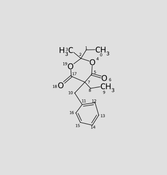 CCC1(C)OC(=O)C(CC)(Cc2ccccc2)C(=O)O1